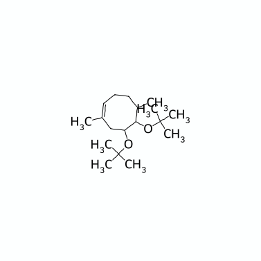 CC1=CCCC(C)C(OC(C)(C)C)C(OC(C)(C)C)C1